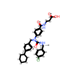 C[C@@H](NC(=O)N(Cc1ccc(C2CCCCC2)cc1)c1ccc(C(=O)NCCC(=O)O)cc1)c1ccc(Cl)cc1